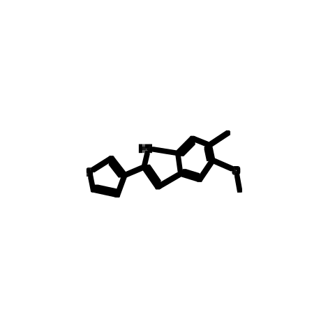 COc1cc2cc(-c3ccsc3)[nH]c2cc1C